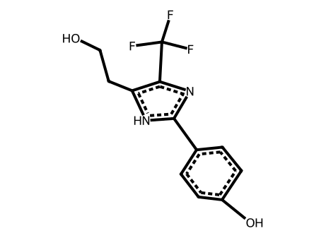 OCCc1[nH]c(-c2ccc(O)cc2)nc1C(F)(F)F